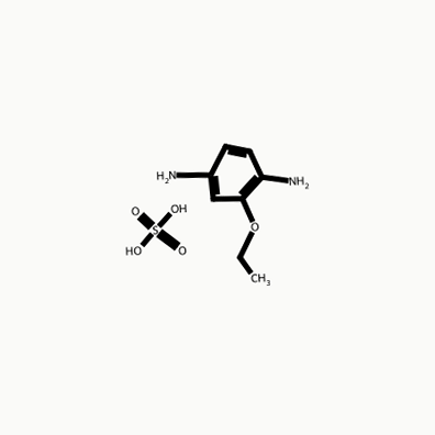 CCOc1cc(N)ccc1N.O=S(=O)(O)O